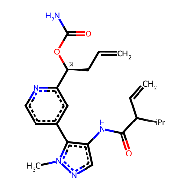 C=CC[C@H](OC(N)=O)c1cc(-c2c(NC(=O)C(C=C)C(C)C)cnn2C)ccn1